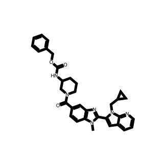 Cn1c(-c2cc3cccnc3n2CC2CC2)nc2cc(C(=O)N3CCCC(NC(=O)OCc4ccccc4)C3)ccc21